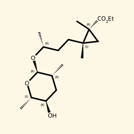 CCOC(=O)[C@]1(C)C[C@]1(C)CC[C@@H](C)O[C@@H]1O[C@@H](C)[C@H](O)C[C@H]1C